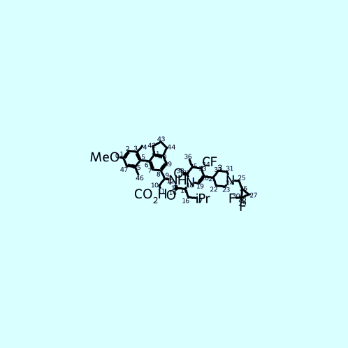 COc1cc(C)c(-c2cc(C(CC(=O)O)NC(=O)C(CC(C)C)N3C=C(C4CCN(CC5CC5(F)F)CC4)C(C(F)(F)F)C(C)C3=O)cc3c2CCC3)c(C)c1